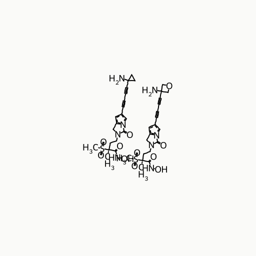 C[C@@](CCN1Cc2cc(C#CC#CC3(N)CC3)cn2C1=O)(C(=O)NO)S(C)(=O)=O.C[C@@](CCN1Cc2cc(C#CC#CC3(N)COC3)cn2C1=O)(C(=O)NO)S(C)(=O)=O